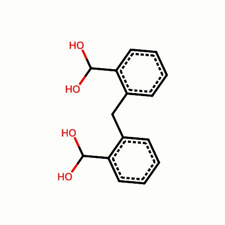 OC(O)c1ccccc1Cc1ccccc1C(O)O